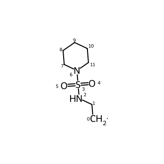 [CH2]CNS(=O)(=O)N1CCCCC1